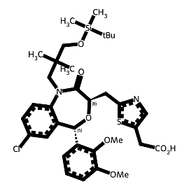 COc1cccc([C@H]2O[C@H](Cc3ncc(CC(=O)O)s3)C(=O)N(CC(C)(C)CO[Si](C)(C)C(C)(C)C)c3ccc(Cl)cc32)c1OC